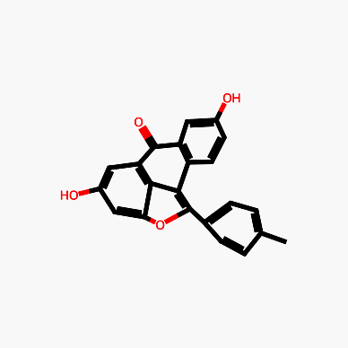 Cc1ccc(-c2oc3cc(O)cc4c3c2-c2ccc(O)cc2C4=O)cc1